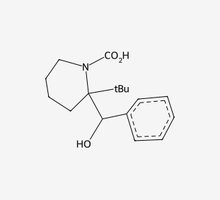 CC(C)(C)C1(C(O)c2ccccc2)CCCCN1C(=O)O